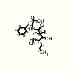 CCC[C@H](NCl)C(O)C(F)(F)C(=O)N[C@@H](Cc1ccccc1)C(=O)O